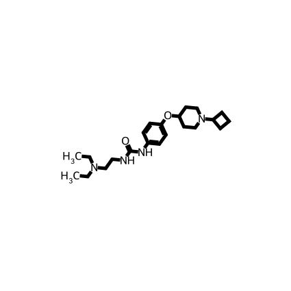 CCN(CC)CCNC(=O)Nc1ccc(OC2CCN(C3CCC3)CC2)cc1